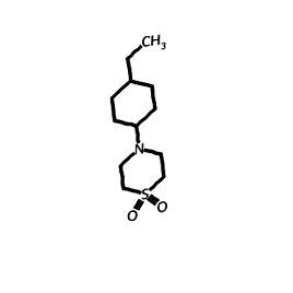 CCC1CCC(N2CCS(=O)(=O)CC2)CC1